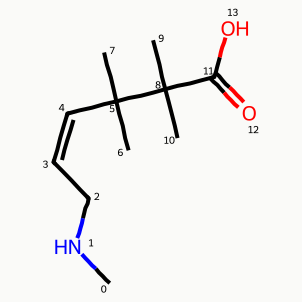 CNC/C=C\C(C)(C)C(C)(C)C(=O)O